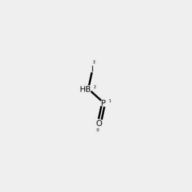 O=PBI